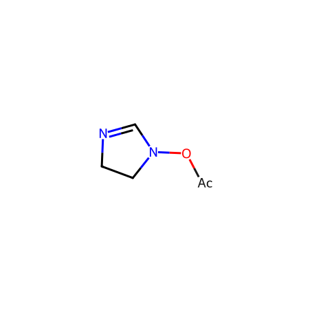 CC(=O)ON1C=NCC1